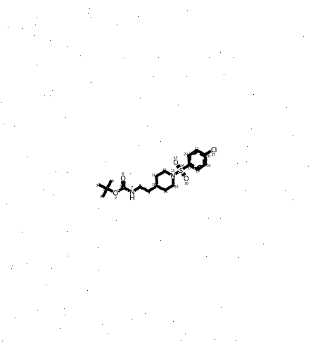 CC(C)(C)OC(=O)NCCC1CCN(S(=O)(=O)c2ccc(Cl)cc2)CC1